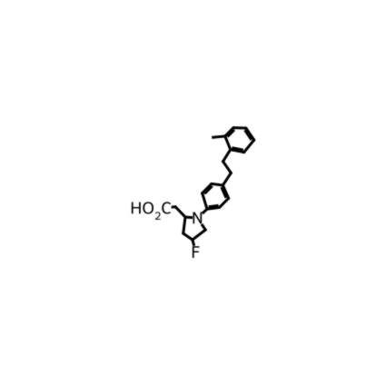 Cc1ccccc1CCc1ccc(N2CC(F)CC2CC(=O)O)cc1